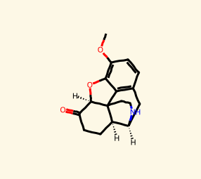 COc1ccc2c3c1O[C@@H]1C(=O)CC[C@@H]4[C@H](C2)NCCC314